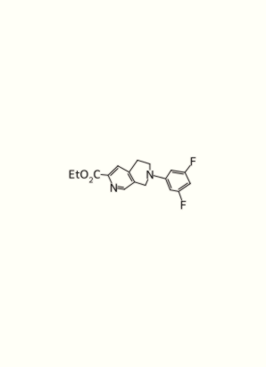 CCOC(=O)c1cc2c(cn1)CN(c1cc(F)cc(F)c1)CC2